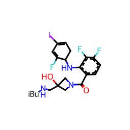 CCC(C)NCC1(O)CN(C(=O)c2ccc(F)c(F)c2NC2CC=C(I)C=C2F)C1